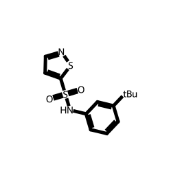 CC(C)(C)c1cccc(NS(=O)(=O)c2ccns2)c1